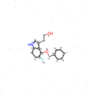 OCCc1c[nH]c2ccc(F)c(OCc3ccccc3)c12